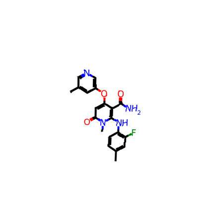 Cc1cncc(Oc2cc(=O)n(C)c(Nc3ccc(C)cc3F)c2C(N)=O)c1